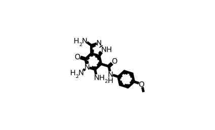 COc1ccc(NC(=O)c2c(N)n(N)c(=O)c3c(N)n[nH]c23)cc1